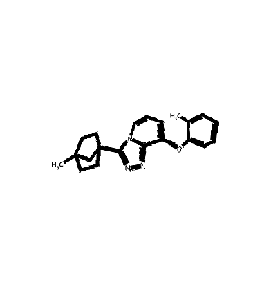 Cc1ccccc1Oc1cccn2c(C34CCC(C)(CC3)C4)nnc12